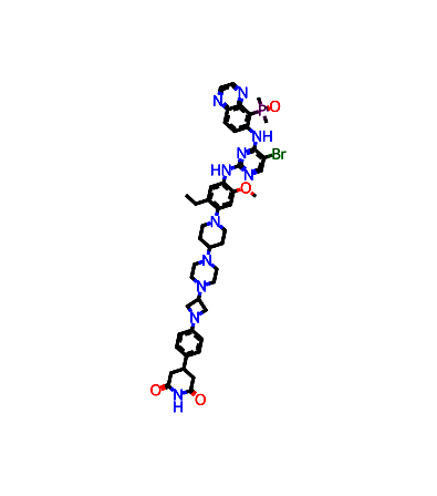 CCc1cc(Nc2ncc(Br)c(Nc3ccc4nccnc4c3P(C)(C)=O)n2)c(OC)cc1N1CCC(N2CCN(C3CN(c4ccc(C5CC(=O)NC(=O)C5)cc4)C3)CC2)CC1